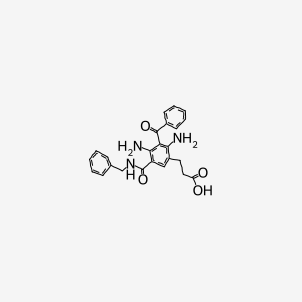 Nc1c(CCC(=O)O)cc(C(=O)NCc2ccccc2)c(N)c1C(=O)c1ccccc1